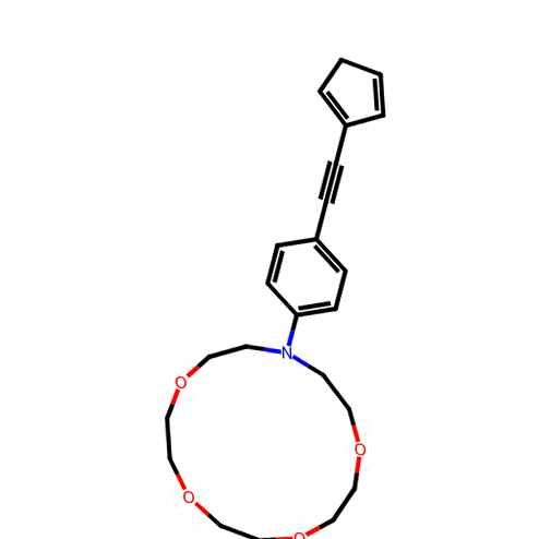 C(#Cc1ccc(N2CCOCCOCCOCCOCC2)cc1)C1=CCC=C1